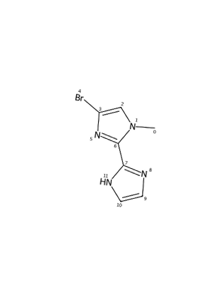 Cn1cc(Br)nc1-c1ncc[nH]1